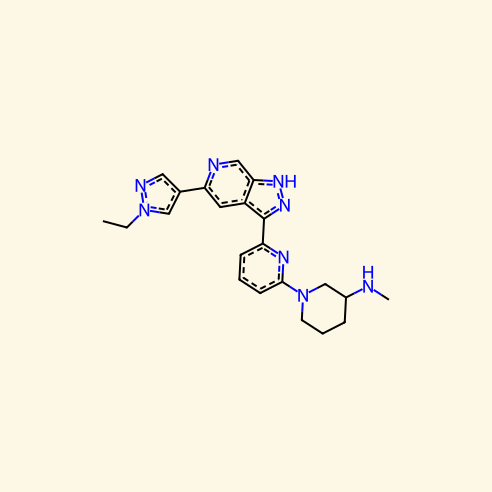 CCn1cc(-c2cc3c(-c4cccc(N5CCCC(NC)C5)n4)n[nH]c3cn2)cn1